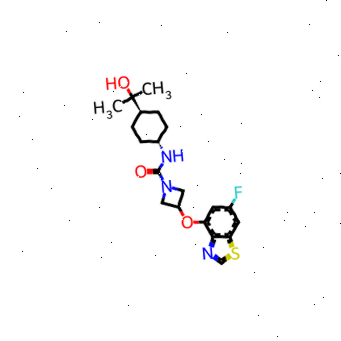 CC(C)(O)[C@H]1CC[C@H](NC(=O)N2CC(Oc3cc(F)cc4scnc34)C2)CC1